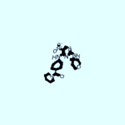 CC1(Nc2ncc([N+](=O)[O-])c(N[C@H]3CC[C@H](C(=O)N4CCCCC4)CC3)n2)CCOCC1